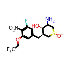 N[C@H]1C[S@@+]([O-])C[C@@H](Cc2cc(F)c([N+](=O)[O-])c(OCC(F)(F)F)c2)[C@@H]1O